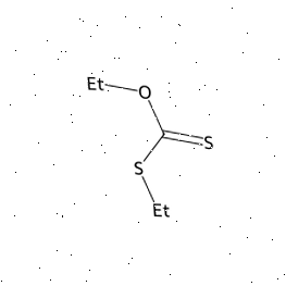 CCOC(=S)SCC